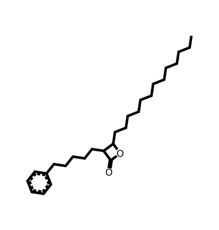 CCCCCCCCCCCCCC1OC(=O)C1CCCCCc1ccccc1